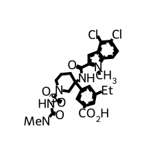 CCc1cc(C(=O)O)cc(C2(NC(=O)c3cc4c(Cl)c(Cl)ccc4n3C)CCCN(S(=O)(=O)NC(=O)NC)C2)c1